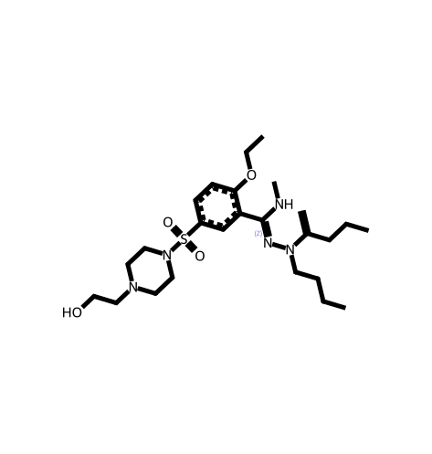 C=C(CCC)N(CCCC)/N=C(\NC)c1cc(S(=O)(=O)N2CCN(CCO)CC2)ccc1OCC